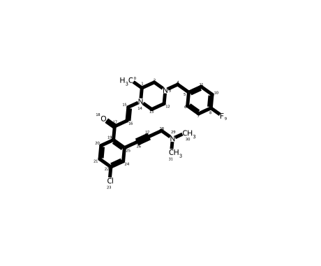 CC1CN(Cc2ccc(F)cc2)CCN1/C=C/C(=O)c1ccc(Cl)cc1C#CCN(C)C